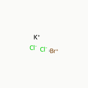 [Br+].[Cl-].[Cl-].[K+]